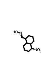 O=[N+]([O-])C1CCCC2C(C=NO)CCCC21